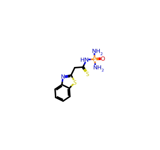 NP(N)(=O)NC(=S)Cc1nc2ccccc2s1